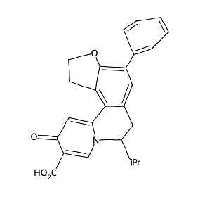 CC(C)C1Cc2cc(-c3ccccc3)c3c(c2-c2cc(=O)c(C(=O)O)cn21)CCO3